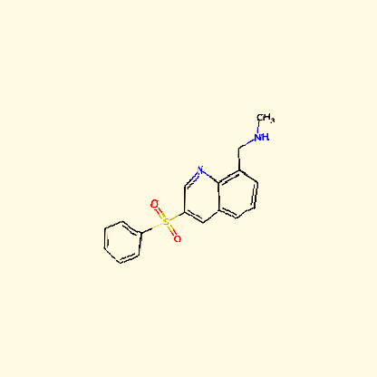 CNCc1cccc2cc(S(=O)(=O)c3ccccc3)cnc12